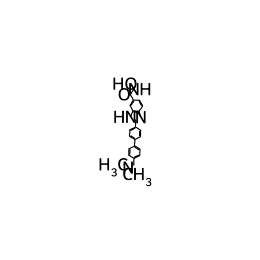 CN(C)Cc1ccc(-c2ccc(-c3nc4ccc(C(=O)NO)cc4[nH]3)cc2)cc1